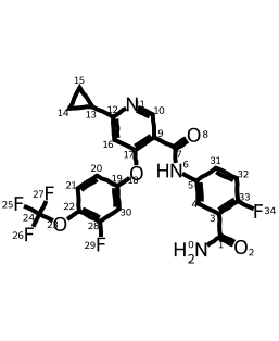 NC(=O)c1cc(NC(=O)c2cnc(C3CC3)cc2Oc2ccc(OC(F)(F)F)c(F)c2)ccc1F